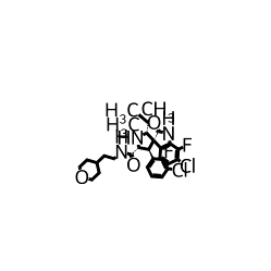 CC(C)(C)C[C@H]1N[C@@H](C(=O)NCCC2CCOCC2)[C@H](c2cccc(Cl)c2F)[C@@]12C(=O)Nc1c2ccc(Cl)c1F